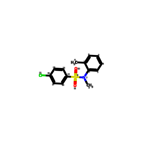 Cc1ccccc1N(C)S(=O)(=O)c1ccc(Cl)cc1